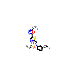 Cc1cccc(N(Cc2ncc(-c3nnc(C(F)(F)F)o3)s2)S(C)(=O)=O)c1